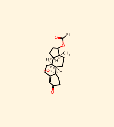 CCC(=O)OC1CC[C@H]2[C@@H]3CCC4=CC(=O)CC[C@]4(CO)[C@@H]3CC[C@]12C